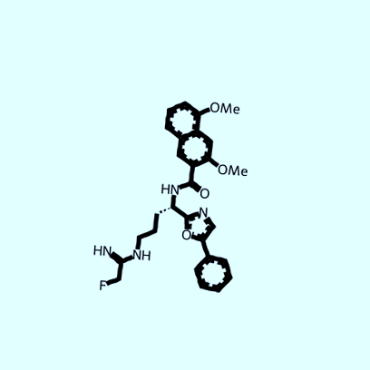 COc1cc2c(OC)cccc2cc1C(=O)N[C@@H](CCCNC(=N)CF)c1ncc(-c2ccccc2)o1